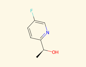 C[C@H](O)c1ccc(F)cn1